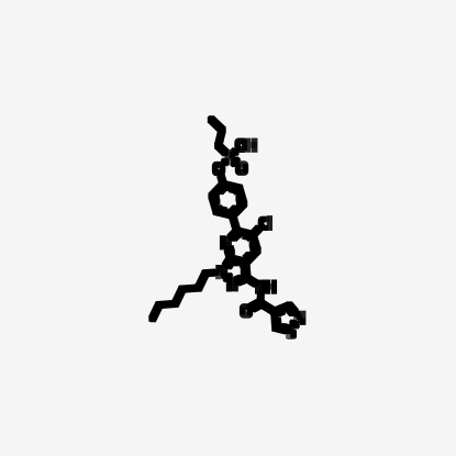 CCCCCCn1nc(NC(=O)c2cnsc2)c2cc(Cl)c(-c3ccc(OP(=O)(O)CCC)cc3)nc21